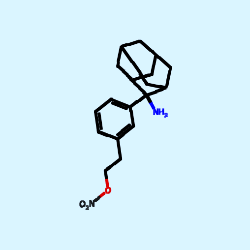 NC1(c2cccc(CCO[N+](=O)[O-])c2)C2CC3CC(C2)CC1C3